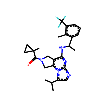 Cc1c(C(C)Nc2nc3ncc(C(C)C)n3c3c2CN(C(=O)C2(C)CC2)C3)cccc1C(F)(F)F